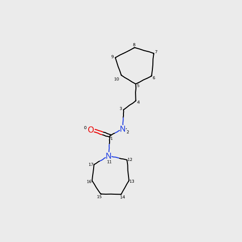 O=C([N]CCC1CCCCC1)N1CCCCCC1